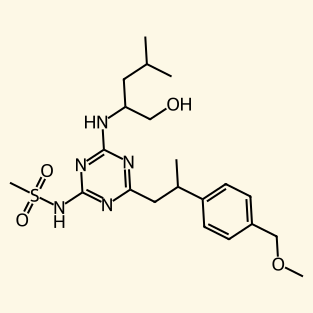 COCc1ccc(C(C)Cc2nc(NC(CO)CC(C)C)nc(NS(C)(=O)=O)n2)cc1